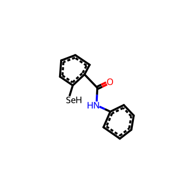 O=C(Nc1ccccc1)c1ccccc1[SeH]